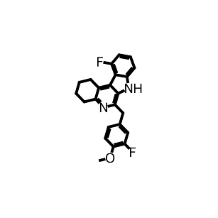 COc1ccc(Cc2nc3c(c4c2[nH]c2cccc(F)c24)CCCC3)cc1F